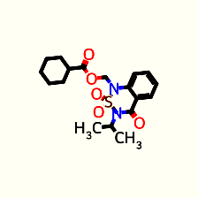 CC(C)N1C(=O)c2ccccc2N(COC(=O)C2CCCCC2)S1(=O)=O